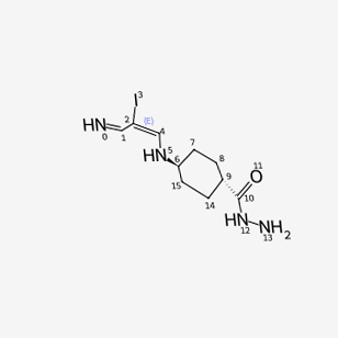 N=C/C(I)=C\N[C@H]1CC[C@H](C(=O)NN)CC1